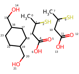 CC(S)CC(=O)O.CC(S)CC(=O)O.OCC1CCC(CO)CC1